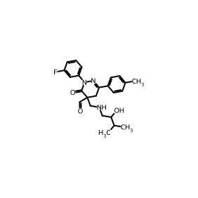 Cc1ccc(C2=NN(c3cccc(F)c3)C(=O)C(C=O)(CNCC(O)C(C)C)C2)cc1